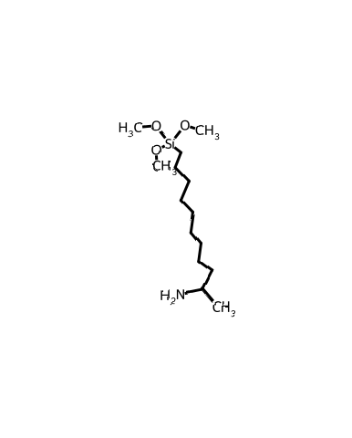 CO[Si](CCCCCCCCCC(C)N)(OC)OC